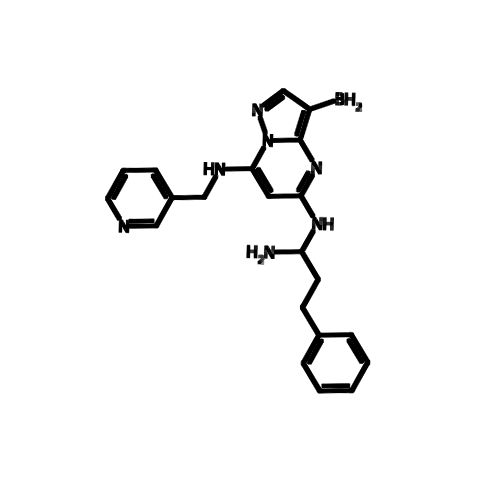 Bc1cnn2c(NCc3cccnc3)cc(NC(N)CCc3ccccc3)nc12